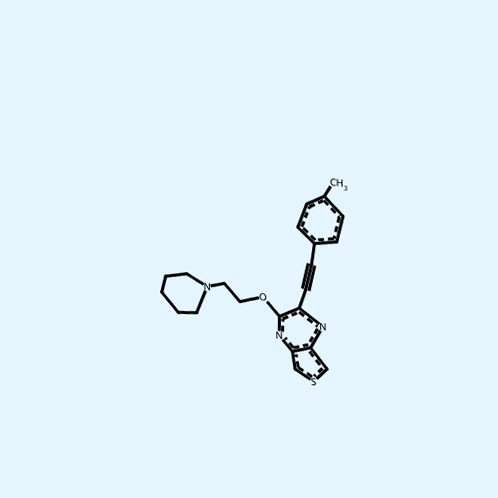 Cc1ccc(C#Cc2nc3cscc3nc2OCCN2CCCCC2)cc1